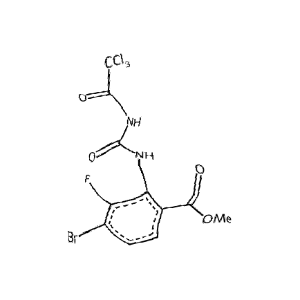 COC(=O)c1ccc(Br)c(F)c1NC(=O)NC(=O)C(Cl)(Cl)Cl